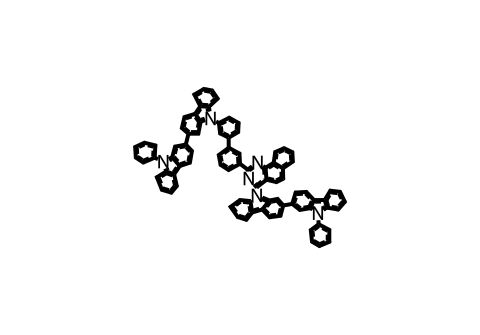 c1ccc(-n2c3ccccc3c3ccc(-c4ccc5c6ccccc6n(-c6cccc(-c7cccc(-c8nc(-n9c%10ccccc%10c%10ccc(-c%11ccc%12c%13ccccc%13n(-c%13ccccc%13)c%12c%11)cc%109)c9ccc%10ccccc%10c9n8)c7)c6)c5c4)cc32)cc1